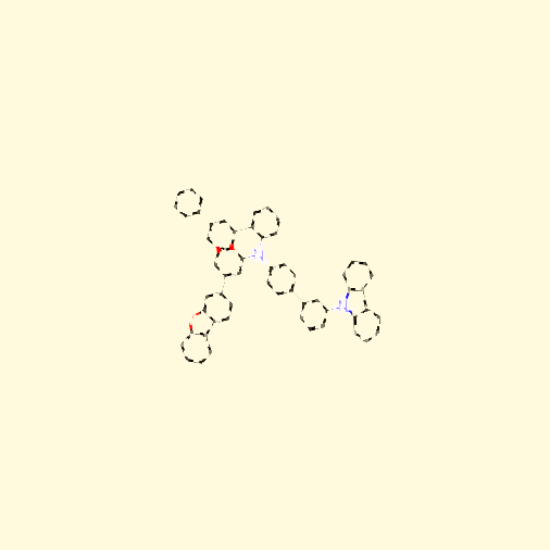 c1ccc(-c2cccc(-c3ccccc3N(c3ccc(-c4cccc(-n5c6ccccc6c6ccccc65)c4)cc3)c3cccc(-c4ccc5c(c4)oc4ccccc45)c3)c2)cc1